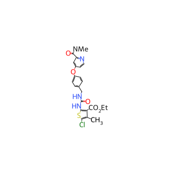 CCOC(=O)c1c(NC(=O)NCc2ccc(Oc3ccnc(C(=O)NC)c3)cc2)sc(Cl)c1C